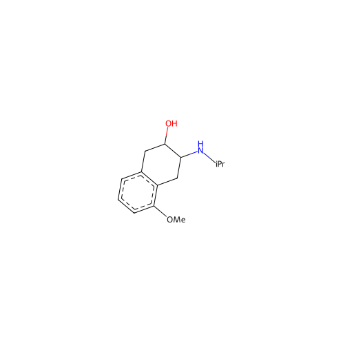 COc1cccc2c1CC(NC(C)C)C(O)C2